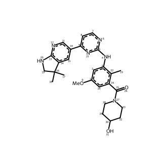 COc1cc(Nc2nccc(-c3cnc4c(c3)C(C)(C)CN4)n2)c(C)c(C(=O)N2CCC(O)CC2)c1